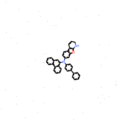 C1=Cc2c(oc3cc(N(c4ccc(-c5ccccc5)cc4)c4cc5ccccc5c5ccccc45)ccc23)NC1